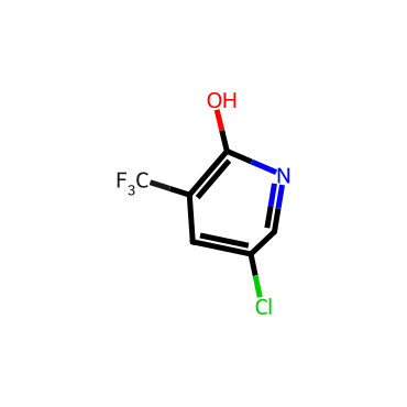 Oc1ncc(Cl)cc1C(F)(F)F